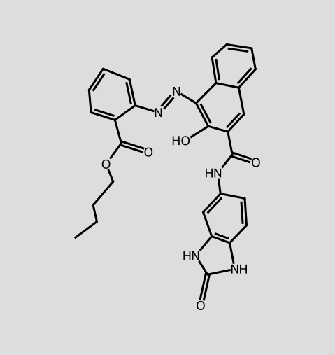 CCCCOC(=O)c1ccccc1N=Nc1c(O)c(C(=O)Nc2ccc3[nH]c(=O)[nH]c3c2)cc2ccccc12